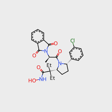 CCC(CC)(C(=O)NO)[C@H]1CC[C@@H](c2cccc(Cl)c2)N1C(=O)[C@@H](C)N1C(=O)c2ccccc2C1=O